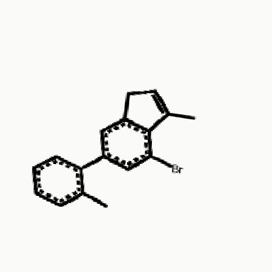 CC1=CCc2cc(-c3ccccc3C)cc(Br)c21